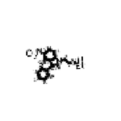 [CH2][CH]NCCn1nc2c3c(c([N+](=O)[O-])ccc31)Sc1ccccc1-2